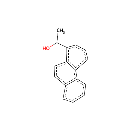 CC(O)c1cccc2c1ccc1ccccc12